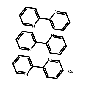 [Os].c1ccc(-c2ccccn2)nc1.c1ccc(-c2ccccn2)nc1.c1ccc(-c2ccccn2)nc1